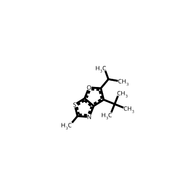 Cc1nc2c(C(C)(C)C)c(C(C)C)oc2s1